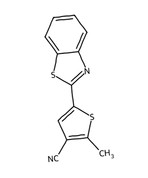 Cc1sc(-c2nc3ccccc3s2)cc1C#N